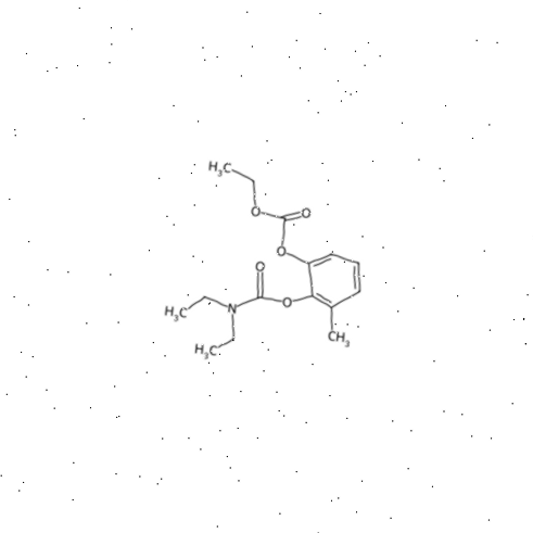 CCOC(=O)Oc1cccc(C)c1OC(=O)N(CC)CC